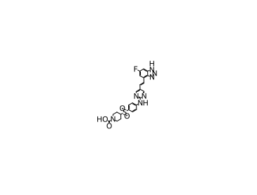 O=C(O)N1CCC(S(=O)(=O)c2ccc(Nc3ncc(/C=C/c4cc(F)cc5[nH]nnc45)cn3)cc2)CC1